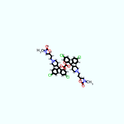 CN1CC(CCN2CCC(C(OC(=O)C(=O)OC(c3ccc(Cl)cc3)(c3ccc(Cl)cc3)C3CCN(CCC4CN(C)C(=O)O4)CC3)(c3ccc(Cl)cc3)c3ccc(Cl)cc3)CC2)OC1=O